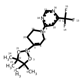 CC1(C)OB(C2=CCN(c3cc(C(F)(F)F)ncn3)CC2)OC1(C)C